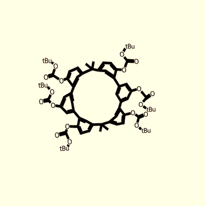 CC(C)(C)OC(=O)Oc1cc2cc(c1)-c1cc(ccc1OC(=O)OC(C)(C)C)C(C)(C)c1ccc(OC(=O)OC(C)(C)C)c(c1)-c1cc(OC(=O)OC(C)(C)C)cc(c1)-c1cc(ccc1OC(=O)OC(C)(C)C)C(C)(C)c1ccc(OC(=O)OC(C)(C)C)c-2c1